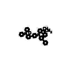 CC1(C)c2ccccc2-c2c(N(c3ccc(-c4ccccc4)cc3)c3ccc(-c4cccc5c4Oc4ccccc4N5c4ccccc4)cc3)cccc21